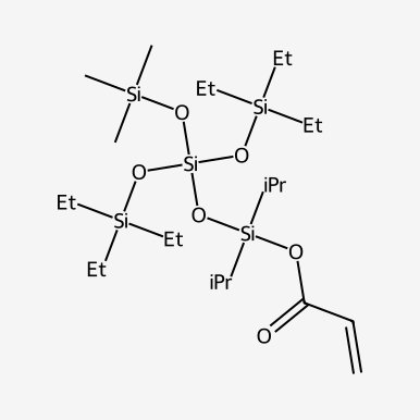 C=CC(=O)O[Si](O[Si](O[Si](C)(C)C)(O[Si](CC)(CC)CC)O[Si](CC)(CC)CC)(C(C)C)C(C)C